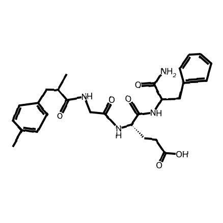 Cc1ccc(CC(C)C(=O)NCC(=O)N[C@@H](CCC(=O)O)C(=O)NC(Cc2ccccc2)C(N)=O)cc1